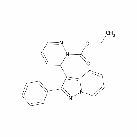 CCOC(=O)N1N=CC=CC1c1c(-c2ccccc2)nn2ccccc12